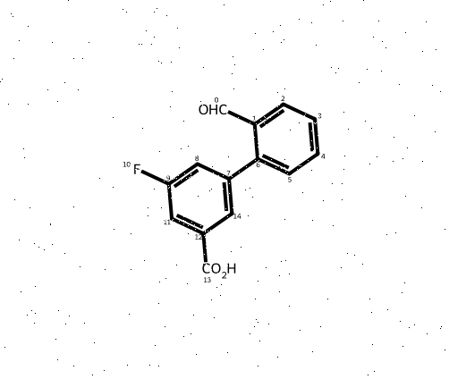 O=Cc1ccccc1-c1cc(F)cc(C(=O)O)c1